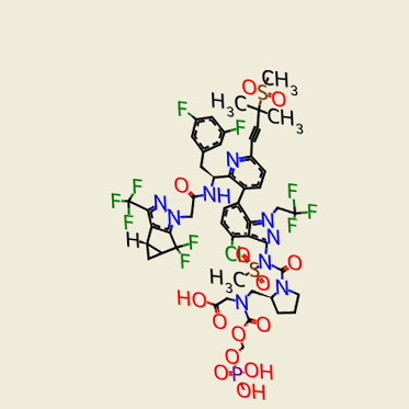 CC(C)(C#Cc1ccc(-c2ccc(Cl)c3c(N(C(=O)N4CCC[C@H]4CN(CC(=O)O)C(=O)OCOP(=O)(O)O)S(C)(=O)=O)nn(CC(F)(F)F)c23)c([C@H](Cc2cc(F)cc(F)c2)NC(=O)Cn2nc(C(F)(F)F)c3c2C(F)(F)C2C[C@H]32)n1)S(C)(=O)=O